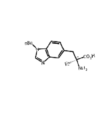 CCCCn1cnc2cc(C[C@@](N)(CC)C(=O)O)ccc21